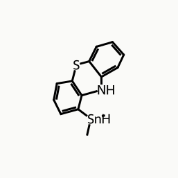 [CH3][SnH]([CH3])[c]1cccc2c1Nc1ccccc1S2